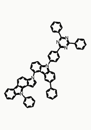 c1ccc(-c2ccc3c(c2)c2c(-n4ccc5c4ccc4c6ccccc6n(-c6ccccc6)c45)cccc2n3-c2ccc(-c3nc(-c4ccccc4)nc(-c4ccccc4)n3)cc2)cc1